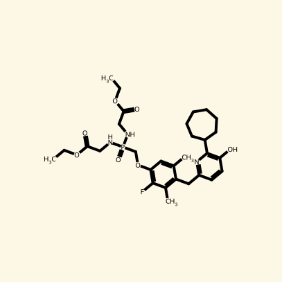 CCOC(=O)CNP(=O)(COc1cc(C)c(Cc2ccc(O)c(C3CCCCCC3)n2)c(C)c1F)NCC(=O)OCC